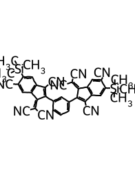 C[Si](C)(C)c1cc2c(cc1C#N)C(=C(C#N)C#N)C(c1cccc(C3=C(C#N)c4cc([Si](C)(C)C)c(C#N)cc4C3=C(C#N)C#N)c1)=C2C#N